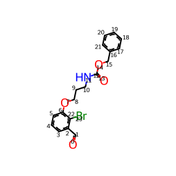 O=Cc1cccc(OCCCNC(=O)OCc2ccccc2)c1Br